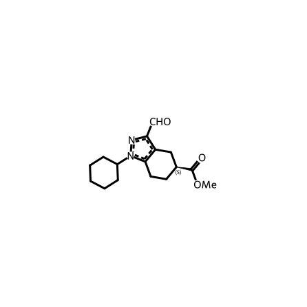 COC(=O)[C@H]1CCc2c(c(C=O)nn2C2CCCCC2)C1